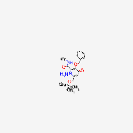 CC(C)NC(=O)c1c(OCc2ccccc2)c(=O)cc(CO[Si](C)(C)C(C)(C)C)n1N